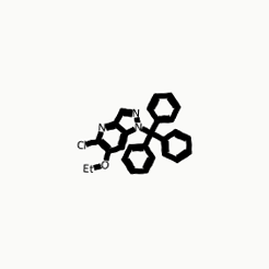 CCOc1cc2c(cnn2C(c2ccccc2)(c2ccccc2)c2ccccc2)nc1Cl